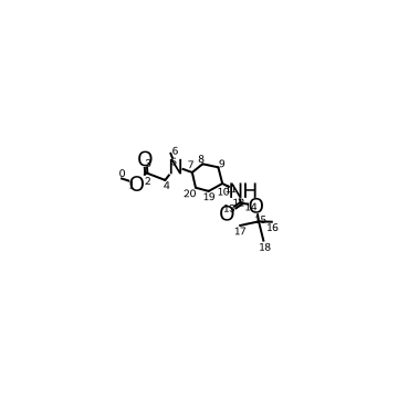 COC(=O)CN(C)C1CCC(NC(=O)OC(C)(C)C)CC1